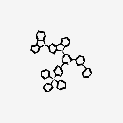 c1ccc(-c2cccc(-c3cc(-n4c5ccccc5c5cc(-n6c7ccccc7c7ccccc76)ccc54)nc(-c4ccc([Si](c5ccccc5)(c5ccccc5)c5ccccc5)cc4)n3)c2)cc1